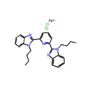 CCCCn1c(-c2cccc(-c3nc4ccccc4n3CCCC)n2)nc2ccccc21.[Cl-].[Cl-].[Fe+2]